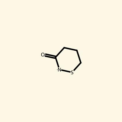 O=C1CCCS[N]1